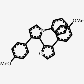 COc1ccc(-c2ccoc2-c2c(-c3ccc(OC)cc3)ccn2-c2ccccc2)cc1